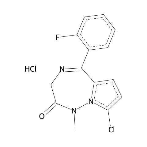 CN1C(=O)CN=C(c2ccccc2F)c2ccc(Cl)n21.Cl